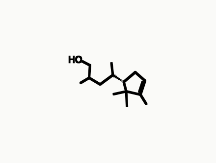 CC1=CC[C@@H](C(C)CC(C)CO)C1(C)C